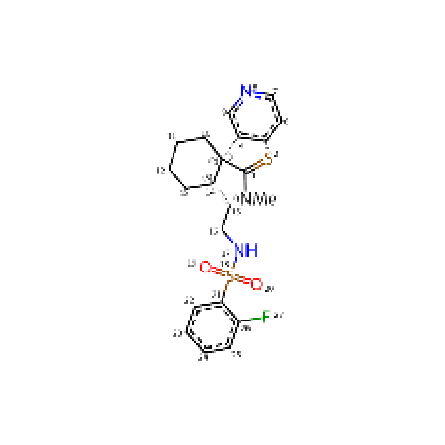 CNC(=S)[C@]1(c2cccnc2)CCCC[C@H]1CCNS(=O)(=O)c1ccccc1F